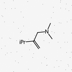 C=C(CN(C)C)C(C)C